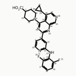 O=C(O)C1CCN(c2nc(-c3ccnc(Nc4c(F)cccc4F)c3)nc3cncc(C4CC4)c23)CC1